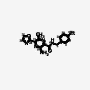 CCc1ccc(CNC(=O)c2nc(C)c(-c3ncco3)nc2N)cc1